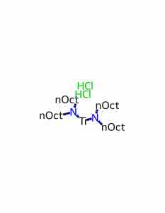 CCCCCCCC[N](CCCCCCCC)[Ti][N](CCCCCCCC)CCCCCCCC.Cl.Cl